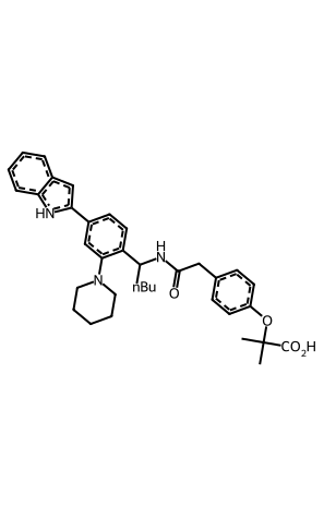 CCCCC(NC(=O)Cc1ccc(OC(C)(C)C(=O)O)cc1)c1ccc(-c2cc3ccccc3[nH]2)cc1N1CCCCC1